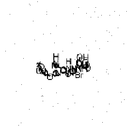 COc1cc(N2CCC(OC3CCN(C(=O)OC(C)(C)C)CC3)CC2)c(-c2cn[nH]c2)cc1Nc1ncc(Br)c(Nc2ccc(O)cc2N(C)S(C)(=O)=O)n1